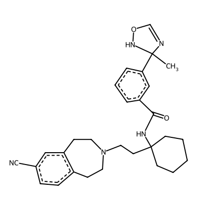 CC1(c2cccc(C(=O)NC3(CCN4CCc5ccc(C#N)cc5CC4)CCCCC3)c2)N=CON1